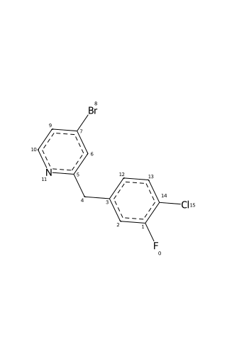 Fc1cc(Cc2cc(Br)ccn2)ccc1Cl